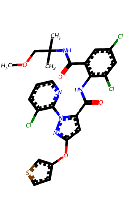 COCC(C)(C)NC(=O)c1cc(Cl)cc(Cl)c1NC(=O)c1cc(Oc2ccsc2)nn1-c1ncccc1Cl